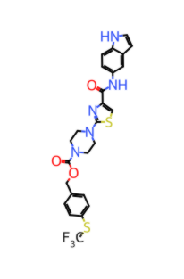 O=C(Nc1ccc2[nH]ccc2c1)c1csc(N2CCN(C(=O)OCc3ccc(SC(F)(F)F)cc3)CC2)n1